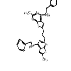 Cc1nc(NCc2ccccc2)c2cc(CCCc3nc(NCc4ccccn4)c4cc(C)sc4n3)sc2n1